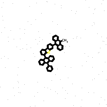 Cc1c2ccccc2c(-c2ccc3c(c2)sc2c(-c4c5ccccc5c(-c5ccccc5)c5ccccc45)cccc23)c2ccccc12